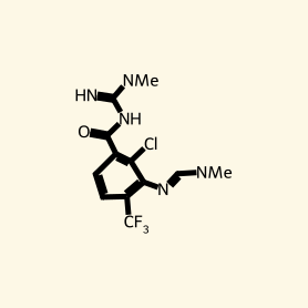 CN/C=N/c1c(C(F)(F)F)ccc(C(=O)NC(=N)NC)c1Cl